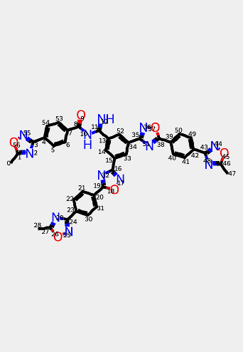 Cc1nc(-c2ccc(C(=O)NC(=N)c3cc(-c4noc(-c5ccc(-c6noc(C)n6)cc5)n4)cc(-c4noc(-c5ccc(-c6noc(C)n6)cc5)n4)c3)cc2)no1